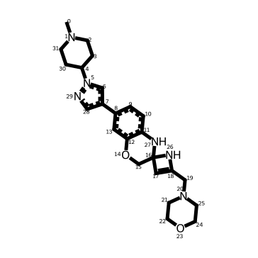 CN1CCC(n2cc(-c3ccc4c(c3)OCC3(C=C(CN5CCOCC5)N3)N4)cn2)CC1